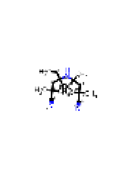 CCC(C)(CC(C)(C)C#N)NC(C)(C)CC(C)(C)C#N